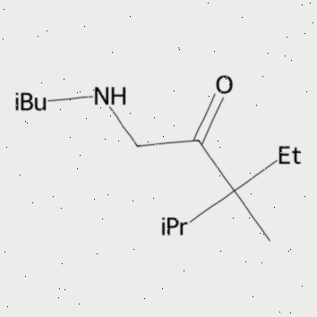 CCC(C)NCC(=O)C(C)(CC)C(C)C